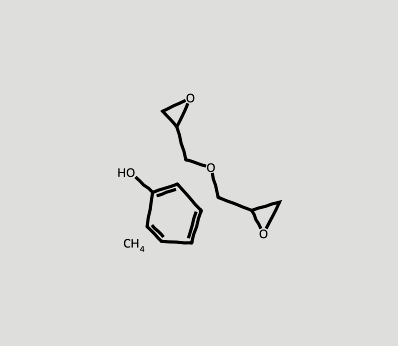 C.C(OCC1CO1)C1CO1.Oc1ccccc1